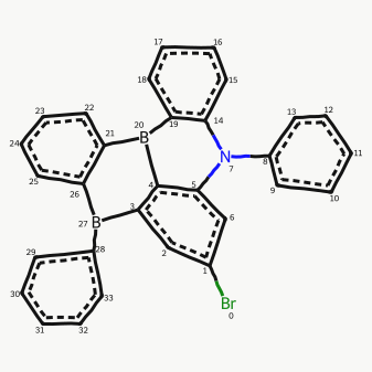 Brc1cc2c3c(c1)N(c1ccccc1)c1ccccc1B3c1ccccc1B2c1ccccc1